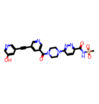 CS(=O)(=O)NC(=O)c1ccc(N2CCN(C(=O)c3cncc(C#Cc4cncc(O)c4)c3)CC2)nn1